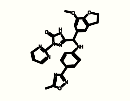 COc1cc(C(Nc2ccc(-c3noc(C)n3)cc2)c2nn(-c3ncccn3)c(=O)[nH]2)cc2c1OCC2